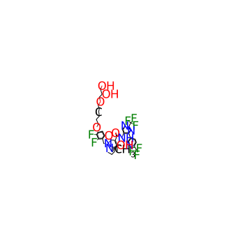 C[C@]12CCCN1N(Cc1ccc(OCCCCCCOCC(O)CO)c(F)c1F)C(=O)C(C(=O)Nc1cnc(C(F)(F)F)nc1-c1ccc(C(F)(F)F)nc1)=C2O